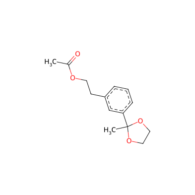 CC(=O)OCCc1cccc(C2(C)OCCO2)c1